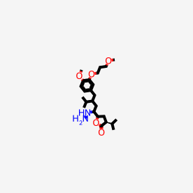 COCCCOc1cc(CC(CC(NN)C2C[C@@H](C(C)C)C(=O)O2)C(C)C)ccc1OC